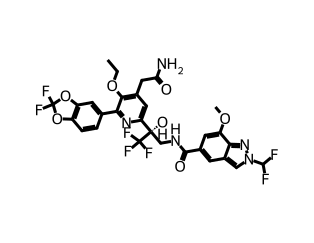 CCOc1c(CC(N)=O)cc([C@@](O)(CNC(=O)c2cc(OC)c3nn(C(F)F)cc3c2)C(F)(F)F)nc1-c1ccc2c(c1)OC(F)(F)O2